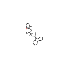 CCC(CC(C)(C)C(=O)OC1CC2CCC1(C)C2(C)C)n1c2ccccc2c2ccccc21